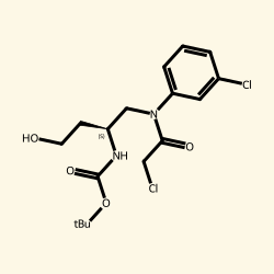 CC(C)(C)OC(=O)N[C@@H](CCO)CN(C(=O)CCl)c1cccc(Cl)c1